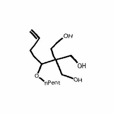 C=CCC(OCCCCC)C(CO)(CO)CO